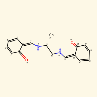 O=C1C=CC=CC1=CNCCNC=C1C=CC=CC1=O.[Co]